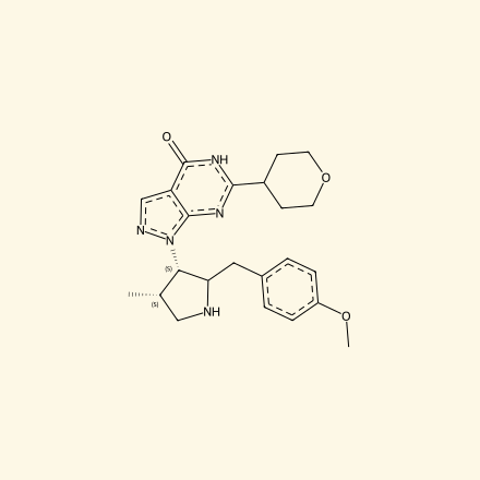 COc1ccc(CC2NC[C@H](C)[C@@H]2n2ncc3c(=O)[nH]c(C4CCOCC4)nc32)cc1